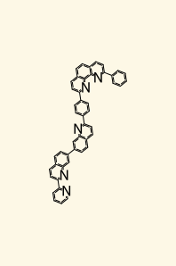 c1ccc(-c2ccc3ccc4ccc(-c5ccc(-c6ccc7ccc(-c8ccc9ccc(-c%10ccccn%10)nc9c8)cc7n6)cc5)nc4c3n2)cc1